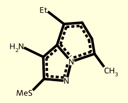 CCc1ccc(C)n2nc(SC)c(N)c12